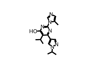 Cc1cncn1-c1nc(O)c(C(C)C)c(-c2cnn(C(C)C)c2)n1